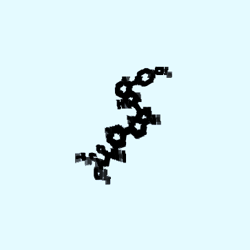 CN(C)CC(=O)Nc1cncc(-c2ccc3[nH]nc(-c4nc5c(N6CCN(C)CC6)nccc5[nH]4)c3n2)c1